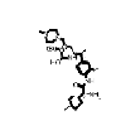 C[C@@H](c1ccc(NC(=O)[C@@H](N)[C@H]2CC[C@H](C)CC2)c(F)c1)[C@H](COCN1CCN(C)CC1)NC(O)OC(C)(C)C